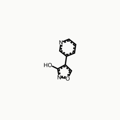 Oc1nocc1-c1cccnc1